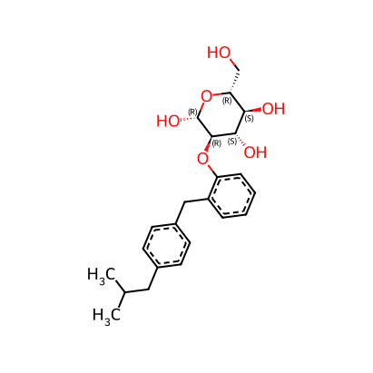 CC(C)Cc1ccc(Cc2ccccc2O[C@@H]2[C@@H](O)[C@H](O)[C@@H](CO)O[C@H]2O)cc1